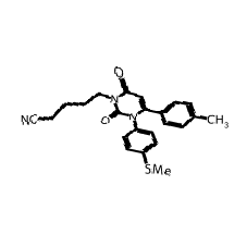 CSc1ccc(-n2c(-c3ccc(C)cc3)cc(=O)n(CCCCC#N)c2=O)cc1